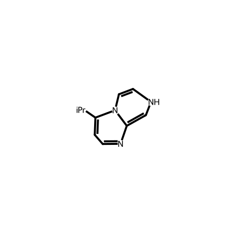 CC(C)C1=CC=NC2=CNC=CN21